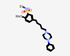 CCNS(=O)(=O)c1cc(CCCCCN2CCN(c3ccccc3)CC2)ccc1SC